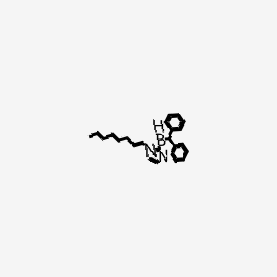 CCCCCCCCn1ccnc1BC(c1ccccc1)c1ccccc1